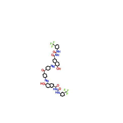 O=C(NC(=O)c1ccc2c(N=Nc3ccc(C(=O)c4ccc(N=Nc5c(O)ccc6cc(C(=O)NC(=O)Nc7cccc(C(F)(F)F)c7)ccc56)cc4)cc3)c(O)ccc2c1)Nc1cccc(C(F)(F)F)c1